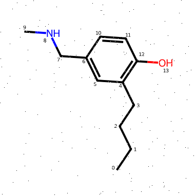 CCCCc1cc(CNC)ccc1O